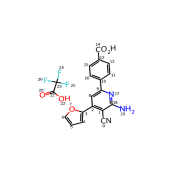 N#Cc1c(-c2ccco2)cc(-c2ccc(C(=O)O)cc2)nc1N.O=C(O)C(F)(F)F